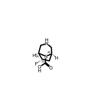 O=C(O)N1[C@H]2CNC[C@@H]1[C@@H](F)C2